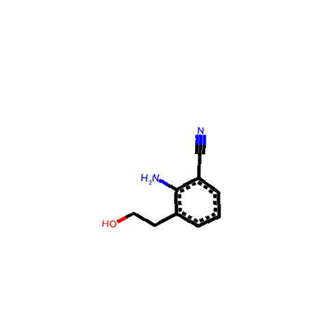 N#Cc1cccc(CCO)c1N